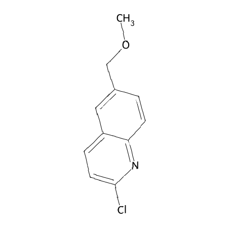 COCc1ccc2nc(Cl)ccc2c1